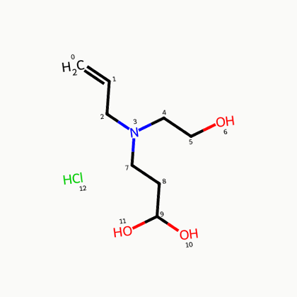 C=CCN(CCO)CCC(O)O.Cl